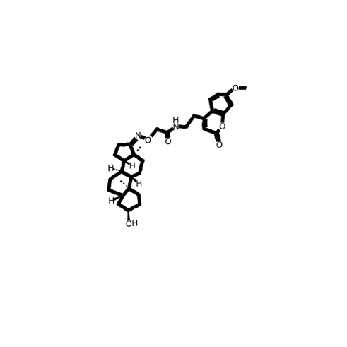 COc1ccc2c(CCNC(=O)CO/N=C3/CC[C@H]4[C@@H]5CC[C@H]6C[C@H](O)CC[C@]6(C)[C@H]5CC[C@]34C)cc(=O)oc2c1